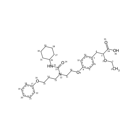 CCOC(Cc1ccc(OCCN(CCCOc2ccccc2)C(=O)NC2CCCCC2)cc1)C(=O)O